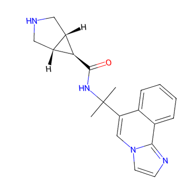 CC(C)(NC(=O)[C@H]1[C@@H]2CNC[C@@H]21)c1cn2ccnc2c2ccccc12